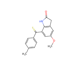 COc1cc2c(c(C(=S)c3ccc(C)cc3)c1)NC(=O)C2